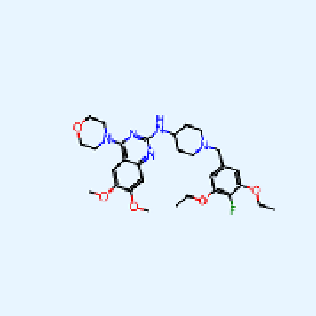 CCOc1cc(CN2CCC(Nc3nc(N4CCOCC4)c4cc(OC)c(OC)cc4n3)CC2)cc(OCC)c1F